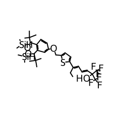 CCC(=CC=CC(O)(C(F)(F)F)C(F)(F)F)c1ccc(COc2ccc(C(O[SiH](C)C)C(C)(C)C)c(C(O[SiH](C)C)C(C)(C)C)c2)s1